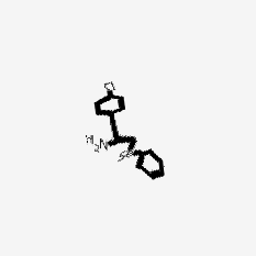 NC(C[Se]c1ccccc1)c1ccc(Cl)cc1